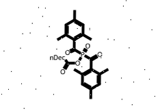 CCCCCCCCCCC(=O)OP(=O)(C(=O)c1c(C)cc(C)cc1C)C(=O)c1c(C)cc(C)cc1C